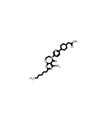 CCCCCCc1nc(N)c2c(n1)OCCN(c1ccc(C3CCC(CC(=O)O)CC3)nc1)C2=O